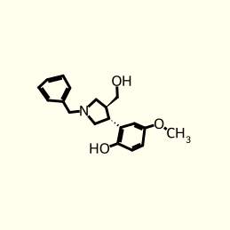 COc1ccc(O)c([C@@H]2CN(Cc3ccccc3)C[C@H]2CO)c1